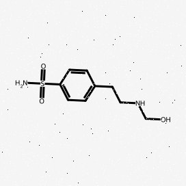 NS(=O)(=O)c1ccc(CCNCO)cc1